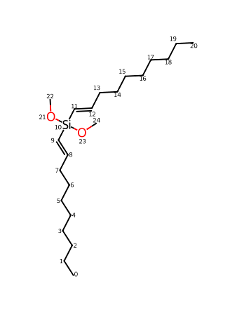 CCCCCCCCC=C[Si](C=CCCCCCCCC)(OC)OC